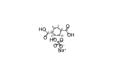 O=C(O)c1ccc(C(=O)O)cc1.O=S(=O)([O-])O.[Na+]